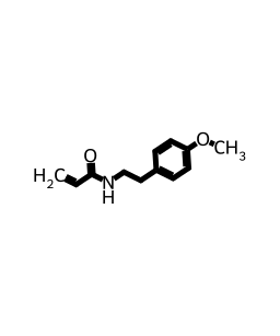 C=CC(=O)NCCc1ccc(OC)cc1